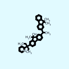 CCC(CC)(c1ccc2c(c1)C(C)(C)c1cc(C(C)c3ccc4c(c3)C(C)(C)c3ccccc3-4)ccc1-2)c1ccccn1